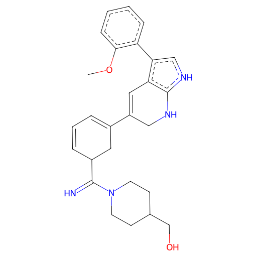 COc1ccccc1-c1c[nH]c2c1C=C(C1=CC=CC(C(=N)N3CCC(CO)CC3)C1)CN2